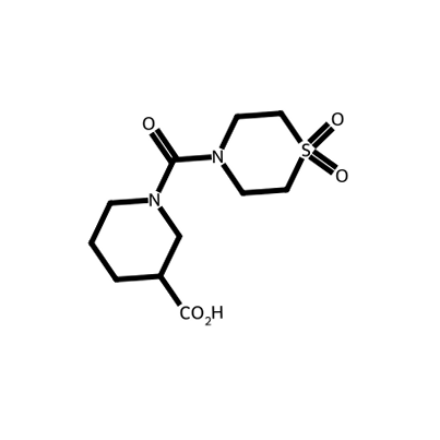 O=C(O)C1CCCN(C(=O)N2CCS(=O)(=O)CC2)C1